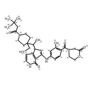 CCC1(C(C)C2N=C(Nc3ccc(C(=O)N4CCOC(=O)C4)c(C)c3)c3c2cc[nH]c3=O)CCN(C(=O)CC(C)(C)C)CC1